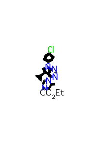 CCOC(=O)N1CCN(c2ncnc3c2c(C2CC2)cn3-c2ccc(Cl)cc2)C(C)C1